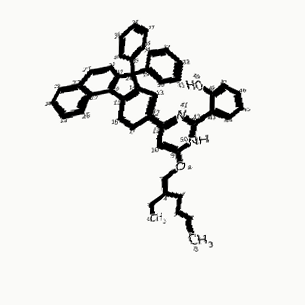 CCCCC(CC)COC1=CC(C2=CC3=C(CC2)c2c(ccc4ccccc24)C3(c2ccccc2)c2ccccc2)=NC(c2ccccc2O)N1